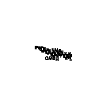 CNc1cc(Nc2cc(-c3ccc4c(cnn4C)c3)ncn2)c(OC)cc1N1CCC(N2CCN(C(C)C)CC2)CC1